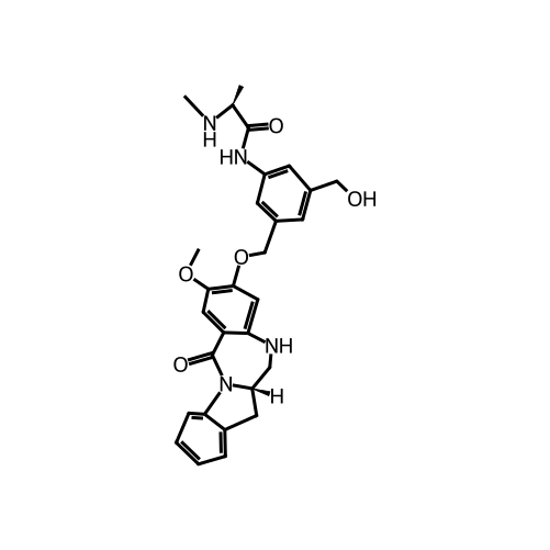 CN[C@@H](C)C(=O)Nc1cc(CO)cc(COc2cc3c(cc2OC)C(=O)N2c4ccccc4C[C@H]2CN3)c1